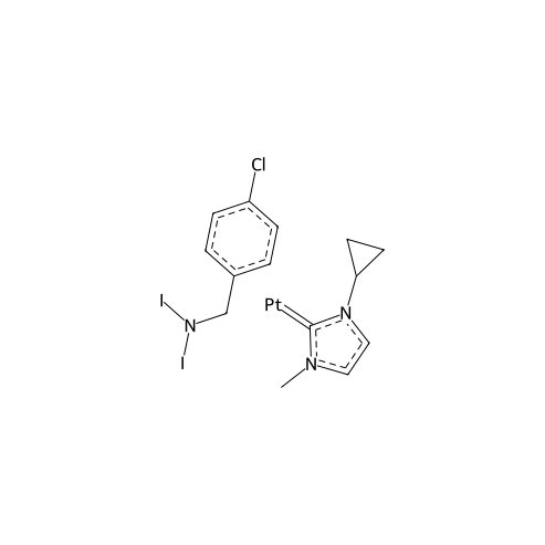 Clc1ccc(CN(I)I)cc1.Cn1ccn(C2CC2)[c]1=[Pt]